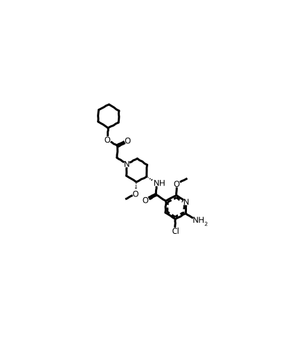 COc1nc(N)c(Cl)cc1C(=O)N[C@H]1CCN(CC(=O)OC2CCCCC2)C[C@H]1OC